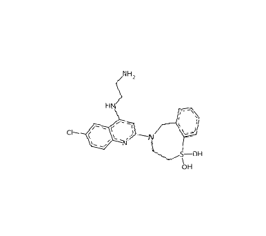 NCCNc1cc(N2CCS(O)(O)c3ccccc3C2)nc2ccc(Cl)cc12